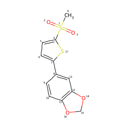 CS(=O)(=O)c1ccc(-c2ccc3c(c2)OCO3)s1